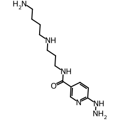 NCCCCNCCCNC(=O)c1ccc(NN)nc1